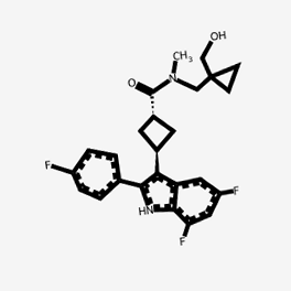 CN(CC1(CO)CC1)C(=O)[C@H]1C[C@H](c2c(-c3ccc(F)cc3)[nH]c3c(F)cc(F)cc32)C1